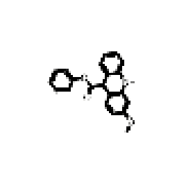 COc1ccc2c(c1)Nc1ccccc1C2C(=O)Oc1ccccc1